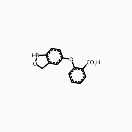 O=C(O)c1ccccc1Oc1ccc2c(c1)COB2